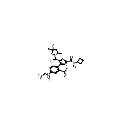 CC1CC(F)(F)CN1C(=O)c1nc(C(=O)NC2CCC2)sc1-c1cnc(NCC(F)(F)F)cc1C(F)F